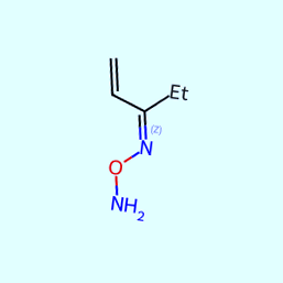 C=C/C(CC)=N\ON